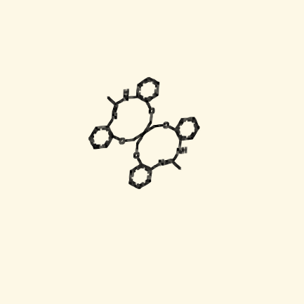 C/C1=N\c2ccccc2OCC2(COc3ccccc3/N=C(\C)Nc3ccccc3OC2)COc2ccccc2N1